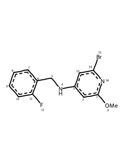 COc1cc(NCc2[c]cccc2F)cc(Br)n1